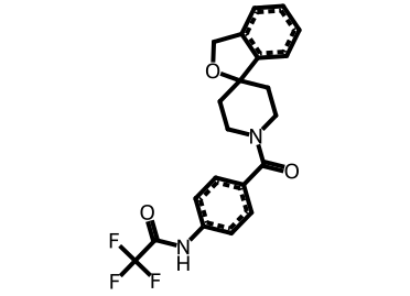 O=C(c1ccc(NC(=O)C(F)(F)F)cc1)N1CCC2(CC1)OCc1ccccc12